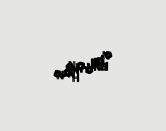 Cc1c(Nc2nccc3cc(CN4CCCC4)cnc23)cccc1-c1cccc(C2=NN3C=C(CN4CCCC4)C=C(Cl)C3N2)c1C